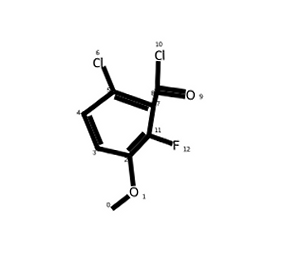 COc1ccc(Cl)c(C(=O)Cl)c1F